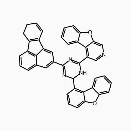 C1=CC2=C(CC1)c1cccc3cc(C4=NC(c5cccc6oc7ccccc7c56)NC(c5cncc6oc7ccccc7c56)=N4)cc2c13